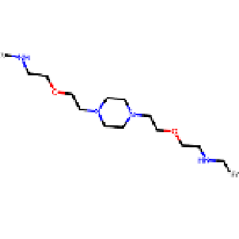 CCNCCOCCN1CCN(CCOCCNCC(C)C)CC1